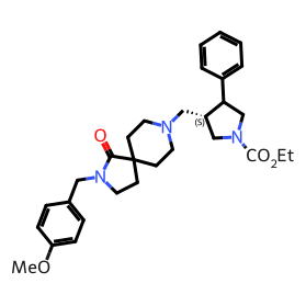 CCOC(=O)N1CC(c2ccccc2)[C@@H](CN2CCC3(CC2)CCN(Cc2ccc(OC)cc2)C3=O)C1